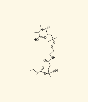 CCSC(=S)SC(C)(C#N)CCC(=O)NCCSSC(C)(C)CCC(=O)N(C)C(C)C(=O)O